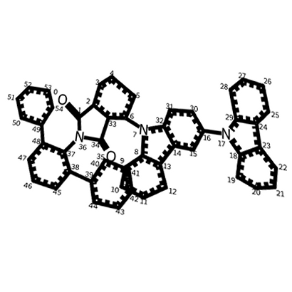 O=C1c2cccc(-n3c4ccccc4c4cc(-n5c6ccccc6c6ccccc65)ccc43)c2C(=O)N1c1c(-c2ccccc2)cccc1-c1ccccc1